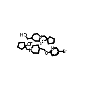 FC(F)(F)C1(CN2CCC(COc3ccc(Br)cn3)CC2)CCCC1.OCC1CCN(CC2(C(F)(F)F)CCCC2)CC1